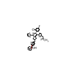 CC(F)CC1C=CC(C2=C3CC(CCCCCC4C5CC4CC(O)(c4cccnc4)C5)CN3C(c3nccs3)=N[C@H]2c2ccc(F)cc2Cl)=N1